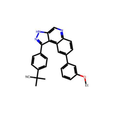 CCOc1cccc(-c2ccc3ncc4[nH]nc(-c5ccc(C(C)(C)C#N)cc5)c4c3c2)c1